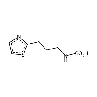 O=C(O)NCCCc1nccs1